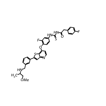 COCC(C)NCc1cccc(-c2cc3nccc(Oc4ccc(NC(=S)NC(=O)Cc5ccc(F)cc5)cc4F)c3s2)c1